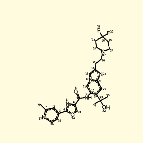 Cc1cc(-c2nc(C(=O)Nc3cn4cc(CCN5CCC(F)(F)CC5)nc4cc3C(C)(C)O)co2)ccn1